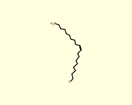 NCCCCCCCC/C=C\CCCCCCCCCl